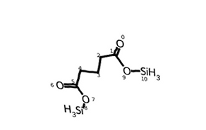 O=C(CCCC(=O)O[SiH3])O[SiH3]